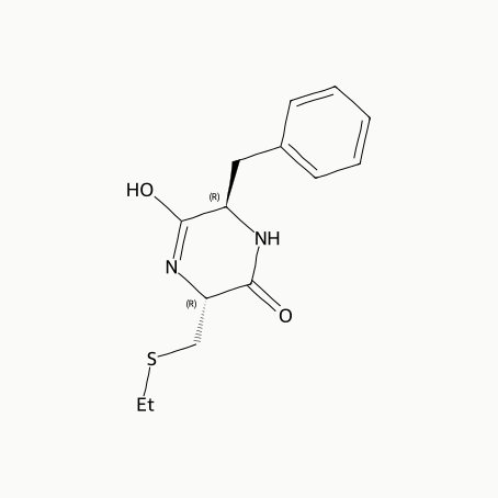 CCSC[C@@H]1N=C(O)[C@@H](Cc2ccccc2)NC1=O